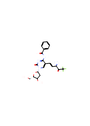 NC(C=Cc1cn([C@H]2CC(O)[C@@H](CO)O2)c(=O)nc1NC(=O)c1ccccc1)C(=O)C(F)(F)F